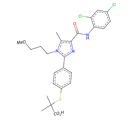 COCCCn1c(-c2ccc(SC(C)(C)C(=O)O)cc2)nc(C(=O)Nc2ccc(Cl)cc2Cl)c1C